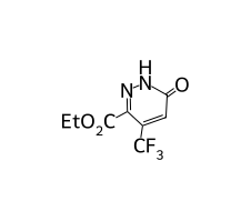 CCOC(=O)c1n[nH]c(=O)cc1C(F)(F)F